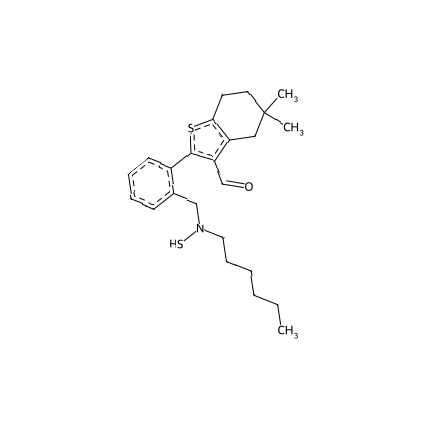 CCCCCCN(S)Cc1ccccc1-c1sc2c(c1C=O)CC(C)(C)CC2